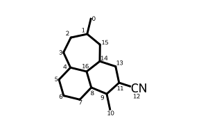 CC1CCC2CCCC3C(C)C(C#N)CC(C1)C23